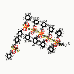 S=P([S-])(OCc1ccccc1)OCc1ccccc1.S=P([S-])(OCc1ccccc1)OCc1ccccc1.S=P([S-])(OCc1ccccc1)OCc1ccccc1.S=P([S-])(OCc1ccccc1)OCc1ccccc1.S=P([S-])(OCc1ccccc1)OCc1ccccc1.S=P([S-])(OCc1ccccc1)OCc1ccccc1.[Mo+6]